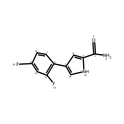 NC(=O)c1cc(-c2ccc(F)cc2F)c[nH]1